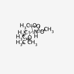 COC(=O)N[C@@H](C(C)=O)[C@@H](C)OC(C)(C)C